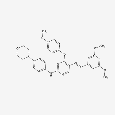 COc1ccc(Oc2nc(Nc3ccc(N4CCOCC4)cc3)ncc2N=Cc2cc(OC)cc(OC)c2)cc1